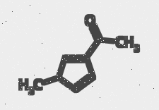 CC(=O)C1=CC(C)C=C1